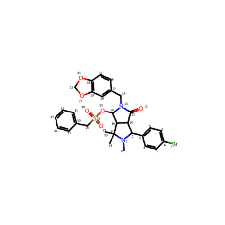 CN1C(c2ccc(Br)cc2)C2C(=O)N(Cc3ccc4c(c3)OCO4)C(OS(=O)(=O)Cc3ccccc3)C2C1(C)C